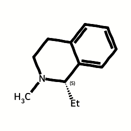 CC[C@H]1c2ccccc2CCN1C